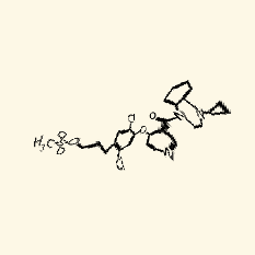 CS(=O)(=O)OCCCc1cc(Cl)c(Oc2ccncc2C(=O)N2CCN(C3CC3)c3ccccc32)cc1Cl